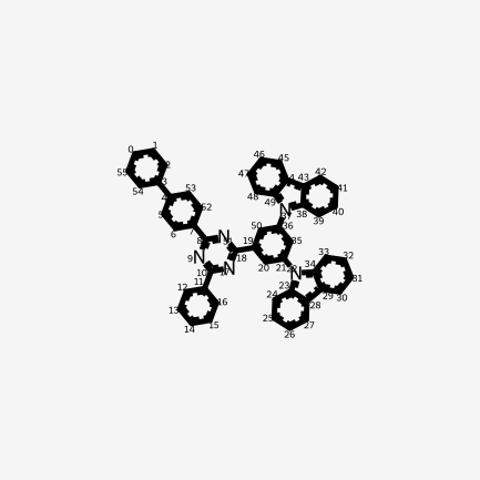 c1ccc(-c2ccc(-c3nc(-c4ccccc4)nc(-c4cc(-n5c6ccccc6c6ccccc65)cc(-n5c6ccccc6c6ccccc65)c4)n3)cc2)cc1